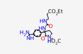 CC(=O)O.CCOC(=O)CCNC(=O)N[C@]1(c2ccc(C(=N)N)cc2)CCNC1=O